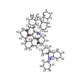 CC1(c2ccccc2)c2ccccc2-c2c(N(c3ccc(-c4ccc5c(c4)c4ccccc4n5-c4ccccc4)cc3)c3ccccc3-c3cccc4cccc(-c5ccccc5)c34)cccc21